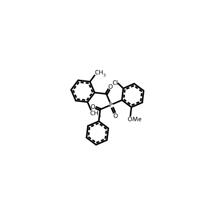 COc1cccc(Cl)c1P(=O)(C(=O)c1ccccc1)C(=O)c1c(C)cccc1C